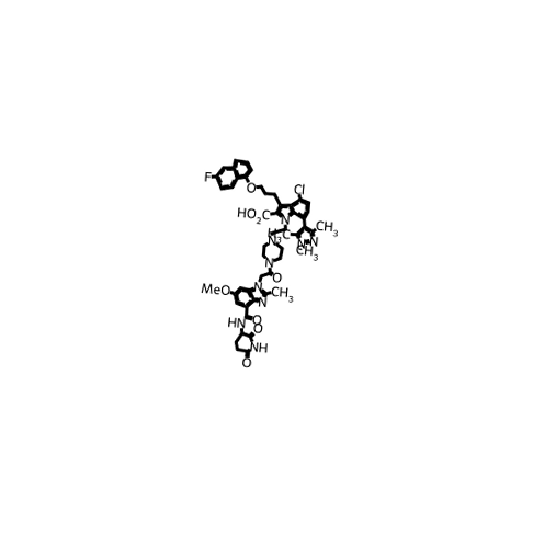 COc1cc(C(=O)NC2CCC(=O)NC2=O)c2nc(C)n(CC(=O)N3CCN(CCn4c(C(=O)O)c(CCCOc5cccc6cc(F)ccc56)c5c(Cl)ccc(-c6c(C)nn(C)c6C)c54)CC3)c2c1